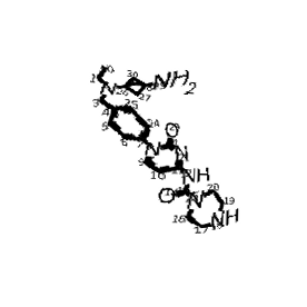 CCN(Cc1ccc(-n2ccc(NC(=O)N3CCNCC3)nc2=O)cc1)C12CC(N)(C1)C2